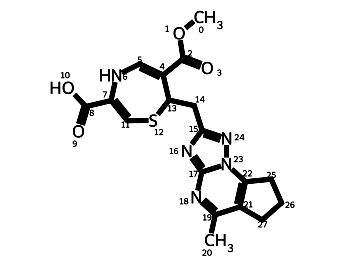 COC(=O)C1=CNC(C(=O)O)=CSC1Cc1nc2nc(C)c3c(n2n1)CCC3